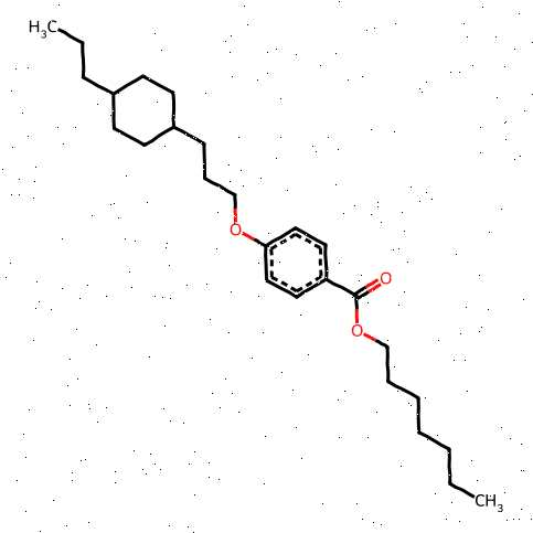 CCCCCCCOC(=O)c1ccc(OCCCC2CCC(CCC)CC2)cc1